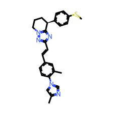 CSc1ccc([C@@H]2CCCn3nc(/C=C/c4ccc(-n5cnc(C)c5)c(C)c4)nc32)cc1